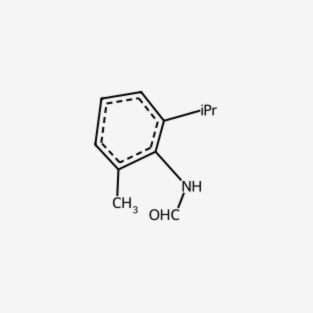 Cc1cccc(C(C)C)c1NC=O